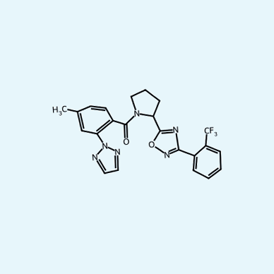 Cc1ccc(C(=O)N2CCCC2c2nc(-c3ccccc3C(F)(F)F)no2)c(-n2nccn2)c1